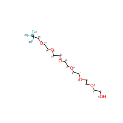 OCCOCCOCCOCCOCCOCCOCC(F)(F)F